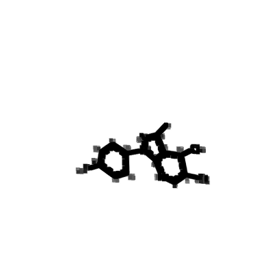 CCc1cnc2c(c(C)nn2-c2ccc(F)cc2)c1Cl